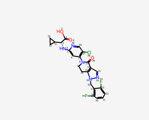 O=C(O)[C@H](Nc1cc(N2CCc3c(cnn3Cc3c(F)cccc3F)C2=O)c(Cl)cn1)C1CC1